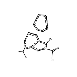 CC(C)c1cccn2c(Br)c(C(=O)O)nc12.c1ccccc1